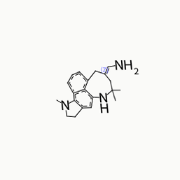 CN1CCc2cc3c4c(cccc4c21)C/C(=C/N)CC(C)(C)N3